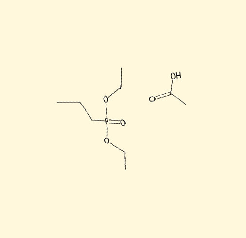 CC(=O)O.CCCP(=O)(OCC)OCC